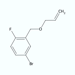 C=CCOCc1cc(Br)ccc1F